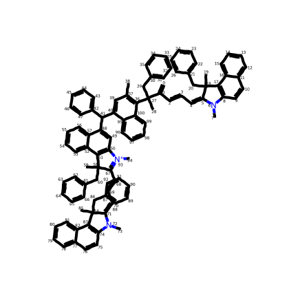 C=C(/C=C/C=C1/N(C)c2ccc3ccccc3c2C1(C)Cc1ccccc1)C(C)(Cc1ccccc1)c1c(C)cc(C(c2ccccc2)c2cc3c(c4ccccc24)C(C)(Cc2ccccc2)C(/C=C/C=C2/N(C)c4ccc5ccccc5c4C2(C)Cc2ccccc2)=[N+]3C)c2ccccc12